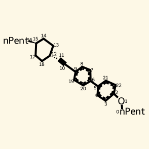 CCCCCOc1ccc(-c2ccc(C#C[C@H]3CC[C@H](CCCCC)CC3)cc2)cc1